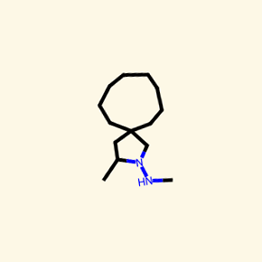 CNN1CC2(CCCCCCCC2)CC1C